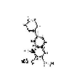 CCCCOc1c(C(=O)O)nc2ccc(N3CCOCC3)cn2c1=O